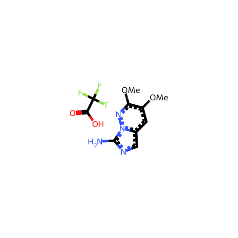 COc1cc2cnc(N)n2nc1OC.O=C(O)C(F)(F)F